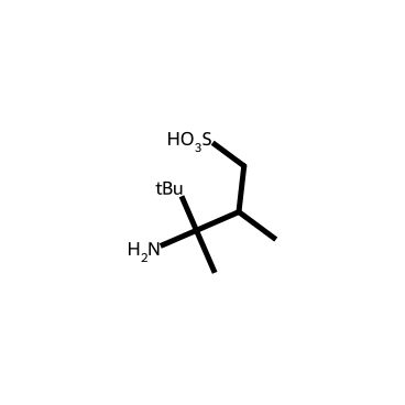 CC(CS(=O)(=O)O)C(C)(N)C(C)(C)C